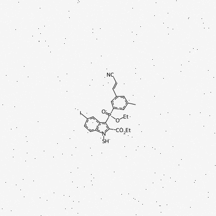 CCOC(=O)c1c(P(=O)(OCC)c2cc(C)cc(/C=C/C#N)c2)c2cc(I)ccc2n1S